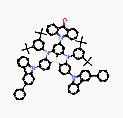 CC(C)(C)c1cc(N2c3cc(-n4c5ccccc5c5cc(-c6ccccc6)ccc54)ccc3B3c4ccc(-n5c6ccccc6c6cc(-c7ccccc7)ccc65)cc4N(c4cc(C(C)(C)C)cc(C(C)(C)C)c4)c4cc(-n5c6ccccc6c(=O)c6ccccc65)cc2c43)cc(C(C)(C)C)c1